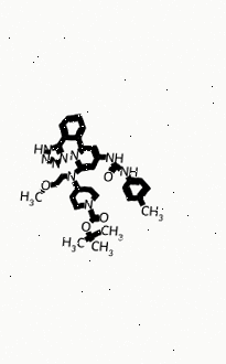 COCCN(c1cc(NC(=O)Nc2ccc(C)cc2)cc(-c2ccccc2-c2nnn[nH]2)n1)C1CCN(C(=O)OC(C)(C)C)CC1